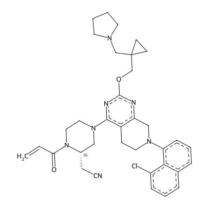 C=CC(=O)N1CCN(c2nc(OCC3(CN4CCCC4)CC3)nc3c2CCN(c2cccc4cccc(Cl)c24)C3)C[C@@H]1CC#N